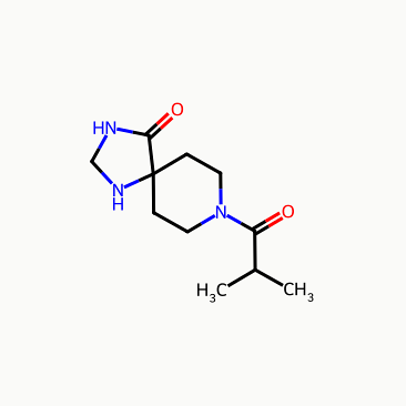 CC(C)C(=O)N1CCC2(CC1)NCNC2=O